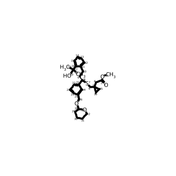 COC(=O)CC1(CS[C@H](CCc2ccccc2C(C)(C)O)c2cccc(COC3CCCCO3)c2)CC1